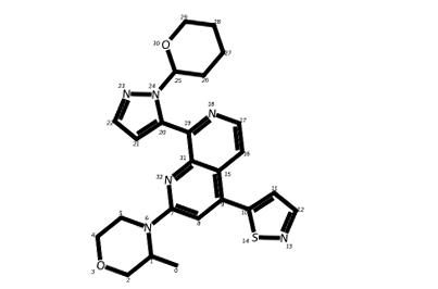 CC1COCCN1c1cc(-c2ccns2)c2ccnc(-c3ccnn3C3CCCCO3)c2n1